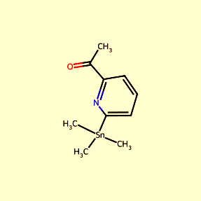 CC(=O)c1ccc[c]([Sn]([CH3])([CH3])[CH3])n1